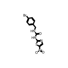 O=C(NCc1ccc(Br)cc1)Nc1ncc([N+](=O)[O-])s1